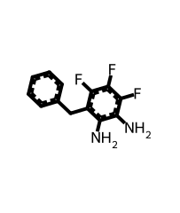 Nc1c(N)c(Cc2ccccc2)c(F)c(F)c1F